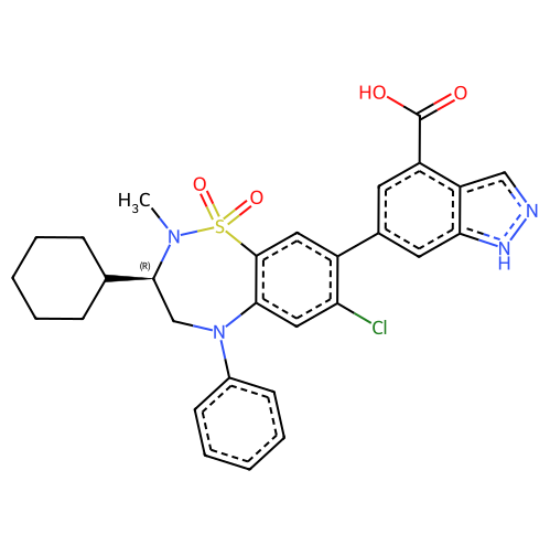 CN1[C@H](C2CCCCC2)CN(c2ccccc2)c2cc(Cl)c(-c3cc(C(=O)O)c4cn[nH]c4c3)cc2S1(=O)=O